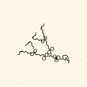 CC/C=C\CCCCOC(CCCCC(=O)OCC(COC(=O)CCCCC(OCCCC/C=C\CC)OCCCC/C=C\CC)COC(=O)OCC1CCCN(CC)C1)OCCCC/C=C\CC